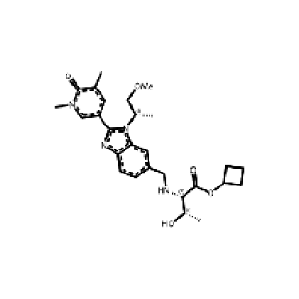 COC[C@H](C)n1c(-c2cc(C)c(=O)n(C)c2)nc2ccc(CN[C@H](C(=O)OC3CCC3)[C@H](C)O)cc21